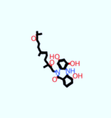 C/C(=C\CCC1(C)OC1CN1C(=O)c2cccc(O)c2Nc2c(O)cc(O)cc21)CCC1OC1(C)C